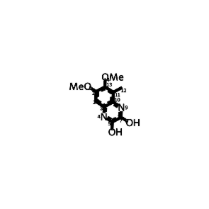 COc1cc2nc(O)c(O)nc2c(C)c1OC